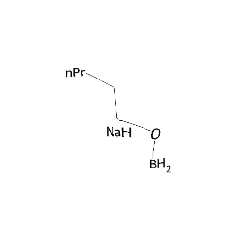 BOCCCCC.[NaH]